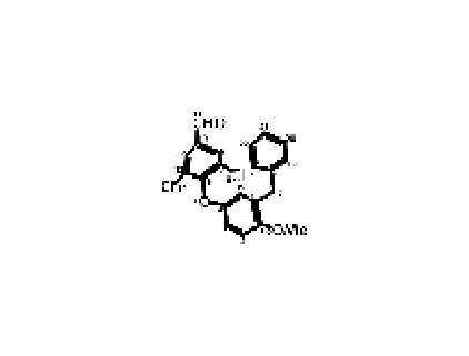 COc1ccc(Oc2c(Cl)cc(C=O)cc2Cl)cc1Cc1ccccc1